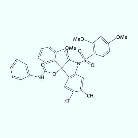 COc1ccc(S(=O)(=O)N2C(=O)C(OC(=O)Nc3ccccc3)(c3ccccc3OC)c3cc(Cl)c(C)cc32)c(OC)c1